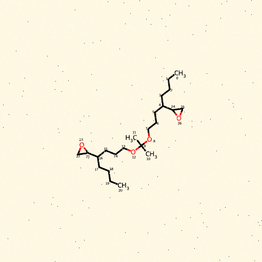 CCCCC(CCCOC(C)(C)OCCCC(CCCC)C1CO1)C1CO1